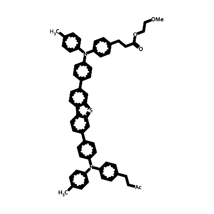 COCCOC(=O)CCc1ccc(N(c2ccc(C)cc2)c2ccc(-c3ccc4c(c3)sc3cc(-c5ccc(N(c6ccc(C)cc6)c6ccc(CCC(C)=O)cc6)cc5)ccc34)cc2)cc1